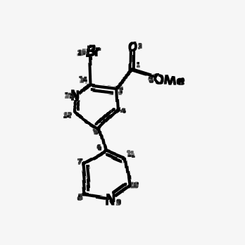 COC(=O)c1cc(-c2ccncc2)cnc1Br